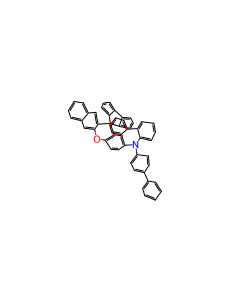 c1ccc(-c2ccc(N(c3ccc4c(c3)C3(c5cc6ccccc6cc5O4)c4ccccc4-c4ccccc43)c3ccccc3-c3ccccc3)cc2)cc1